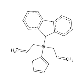 C=CC[Si](CC=C)(C1=CC=CC1)C1c2ccccc2-c2ccccc21